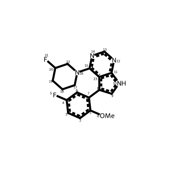 COc1ccc(F)cc1-c1c[nH]c2ncnc(N3CCCC(F)C3)c12